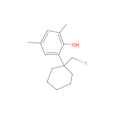 Cc1cc(C)c(O)c(C2(CI)CCCCC2)c1